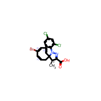 C[C@@H]1C(C(=O)O)=NN(c2ccc(Cl)cc2Cl)C12/C=C/C=C(Br)\C=C/C2